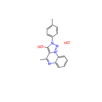 Cc1ccc(-n2n[n+]3c(c(C)nc4ccccc43)c2O)cc1.[OH-]